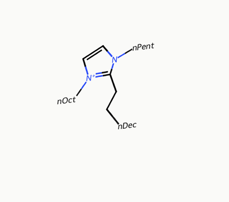 CCCCCCCCCCCCc1n(CCCCC)cc[n+]1CCCCCCCC